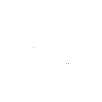 COc1ccc(C2CNC(=O)C2C(=O)O)cc1OC1CCCC1